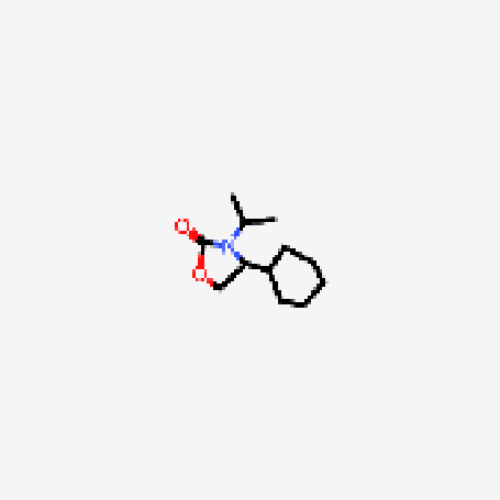 CC(C)N1C(=O)OCC1C1CCCCC1